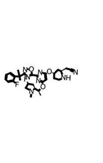 C[C@H](Oc1cc(O[C@H]2CCN[C@H](CC#N)C2)nc(-c2nc(C(C)(C)c3ccccc3F)no2)n1)[C@@H]1C[C@H](F)CN1C